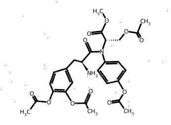 COC(=O)[C@H](COC(C)=O)N(C(=O)[C@@H](N)Cc1ccc(OC(C)=O)c(OC(C)=O)c1)c1ccc(OC(C)=O)cc1